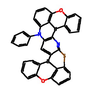 c1ccc(N2c3cc4c(nc3B3c5ccccc5Oc5cccc2c53)Sc2cccc3c2B4c2ccccc2O3)cc1